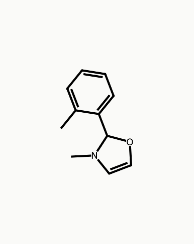 Cc1ccccc1C1OC=CN1C